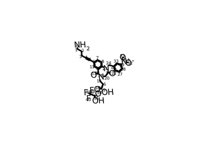 NCCCC#Cc1ccc2c(c1)C(=O)N(CCC(=O)O)CC(=O)N2Cc1cccc([N+](=O)[O-])c1.O=C(O)C(F)(F)F